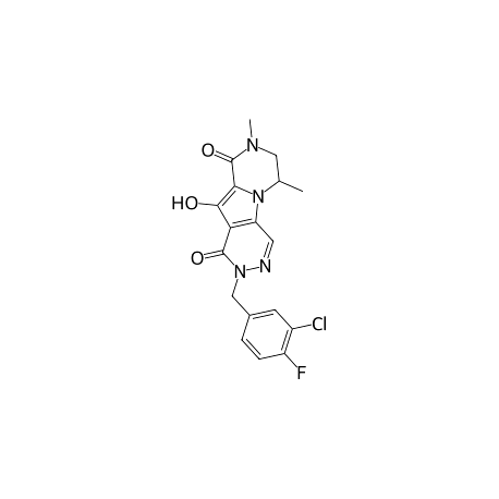 CC1CN(C)C(=O)c2c(O)c3c(=O)n(Cc4ccc(F)c(Cl)c4)ncc3n21